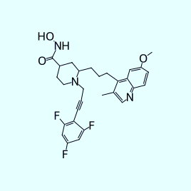 COc1ccc2ncc(C)c(CCCC3CC(C(=O)NO)CCN3CC#Cc3c(F)cc(F)cc3F)c2c1